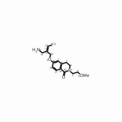 COCCN1CCc2cc(OC/C(=C\F)CN)ccc2C1=O